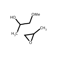 CC1CO1.COCC(C)O